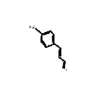 [CH]=C/C=C/c1ccc(C)cc1